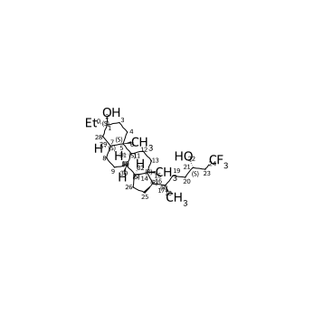 CC[C@]1(O)CC[C@@]2(C)[C@@H](CC[C@@H]3[C@@H]2CC[C@]2(C)[C@@H]([C@H](C)CC[C@H](O)CC(F)(F)F)CC[C@@H]32)C1